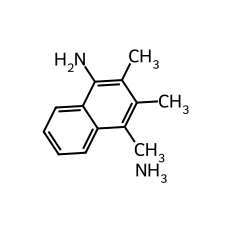 Cc1c(C)c(N)c2ccccc2c1C.N